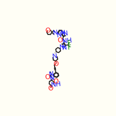 Cn1c(=O)n(C2CCC(=O)NC2=O)c2cccc(C#CCOC3CCN(C[C@H]4CC[C@H](n5cc(NC(=O)c6cnn7ccc(N8CC9(CCCOC9)C8)nc67)c(C(F)F)n5)CC4)CC3)c21